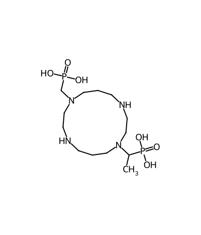 CC(N1CCCNCCN(CP(=O)(O)O)CCCNCC1)P(=O)(O)O